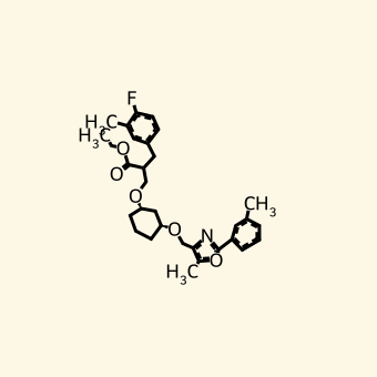 CCOC(=O)C(CO[C@@H]1CCC[C@H](OCc2nc(-c3cccc(C)c3)oc2C)C1)Cc1ccc(F)c(C)c1